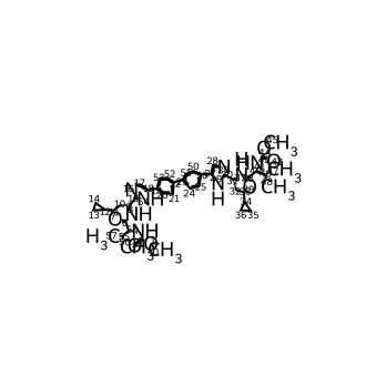 COC(=O)N[C@H](C(=O)N[C@@H](CCC1CC1)c1ncc(-c2ccc(-c3ccc(-c4cnc([C@H](CCC5CC5)NC(=O)[C@@H](NC(=O)OC)C(C)C)[nH]4)cc3)cc2)[nH]1)C(C)C